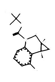 CC(C)(C)OC(=O)N1C[C@@H]2C[C@@H]2c2c(Br)cccc21